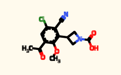 COc1c(C(C)=O)cc(Cl)c(C#N)c1C1CN(C(=O)O)C1